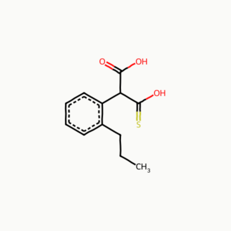 CCCc1ccccc1C(C(=O)O)C(O)=S